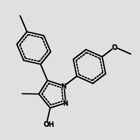 COc1ccc(-n2nc(O)c(C)c2-c2ccc(C)cc2)cc1